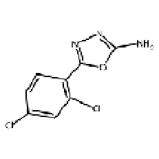 Nc1nnc(-c2ccc(Cl)cc2Cl)o1